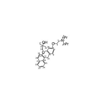 CCCN(CCC)CCOc1ccc(Cc2c(OCC(C)(C)O)ccc3ccccc23)cc1